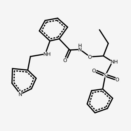 CCC(NS(=O)(=O)c1ccccc1)ONC(=O)c1ccccc1NCc1ccncc1